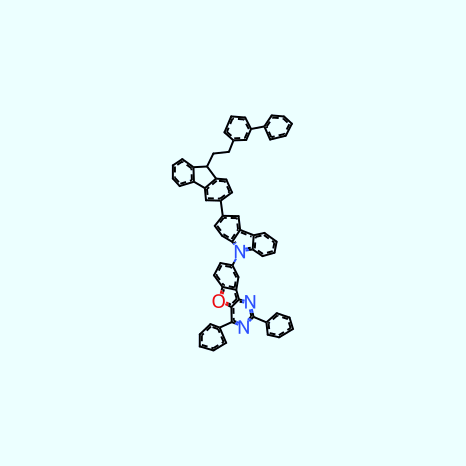 c1ccc(-c2cccc(CCC3c4ccccc4-c4cc(-c5ccc6c(c5)c5ccccc5n6-c5ccc6oc7c(-c8ccccc8)nc(-c8ccccc8)nc7c6c5)ccc43)c2)cc1